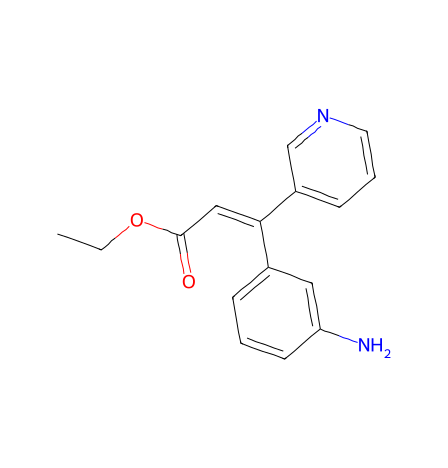 CCOC(=O)C=C(c1cccnc1)c1cccc(N)c1